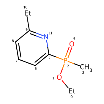 CCOP(C)(=O)c1cccc(CC)n1